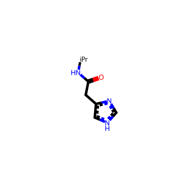 CC(C)NC(=O)Cc1c[nH]cn1